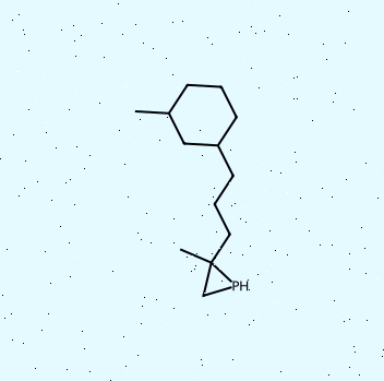 CC1CCCC(CCCC2(C)CP2)C1